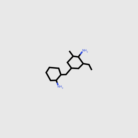 CCC1CC(CC2CCCCC2N)CC(C)C1N